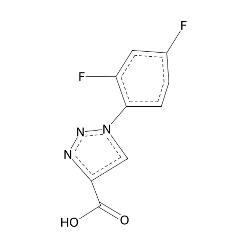 O=C(O)c1cn(-c2ccc(F)cc2F)nn1